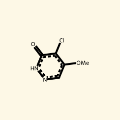 COc1cn[nH]c(=O)c1Cl